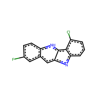 Fc1ccc2[nH]c3c4c(Cl)cccc4nc-3cc2c1